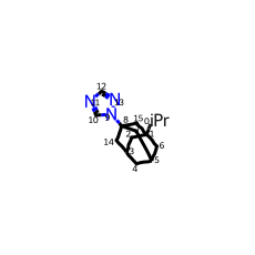 CC(C)C12CC3CC(C1)CC(n1cncn1)(C3)C2